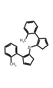 Cc1ccccc1C1=[C]([Zr][C]2=C(c3ccccc3C)C=CC2)CC=C1